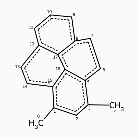 Cc1cc(C)c2ccc3c[c]cc4ccc1c2c43